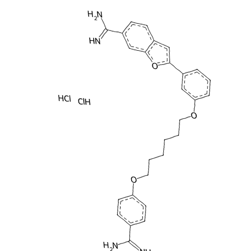 Cl.Cl.N=C(N)c1ccc(OCCCCCCOc2cccc(-c3cc4ccc(C(=N)N)cc4o3)c2)cc1